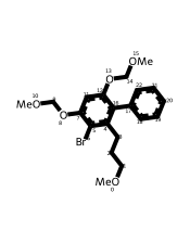 COCCCc1c(Br)c(OCOC)cc(OCOC)c1-c1ccccc1